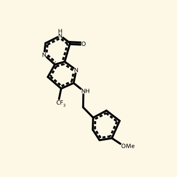 COc1ccc(CNc2nc3c(=O)[nH]cnc3cc2C(F)(F)F)cc1